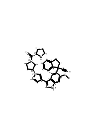 COc1cc2[nH]nc(-c3cnn([C@H]4CCN(C(=O)[C@@H]5CCCO5)C4)c3)c2nc1C1(C#N)CCc2ccccc21